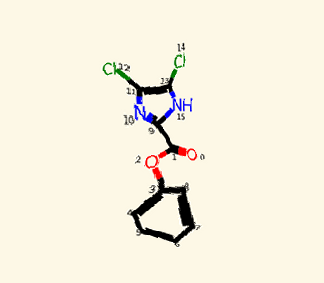 O=C(Oc1ccccc1)c1nc(Cl)c(Cl)[nH]1